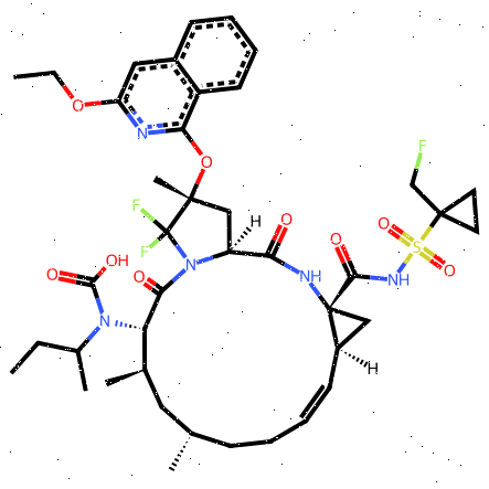 CCOc1cc2ccccc2c(O[C@]2(C)C[C@H]3C(=O)N[C@]4(C(=O)NS(=O)(=O)C5(CF)CC5)C[C@H]4/C=C\CC[C@H](C)C[C@@H](C)[C@H](N(C(=O)O)C(C)CC)C(=O)N3C2(F)F)n1